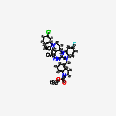 CC(=O)OC1CN(c2cc(Cl)ccc2[N+](=O)[O-])CCC1n1c(=N)n(Cc2cccc3c2ccn3C(=O)OC(C)(C)C)c2ccc(F)cc21